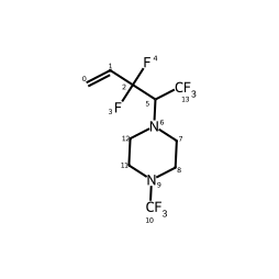 C=CC(F)(F)C(N1CCN(C(F)(F)F)CC1)C(F)(F)F